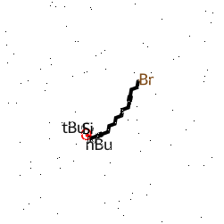 CCCC[C@H](C#CCCCCCCCC#CCCCBr)O[Si](C)(C)C(C)(C)C